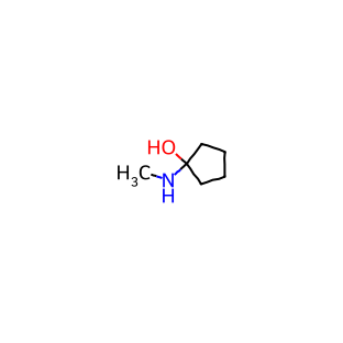 CNC1(O)CCCC1